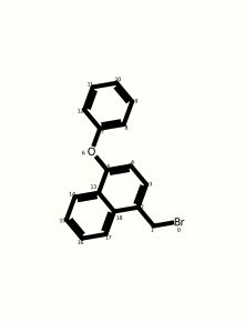 BrCc1ccc(Oc2ccccc2)c2ccccc12